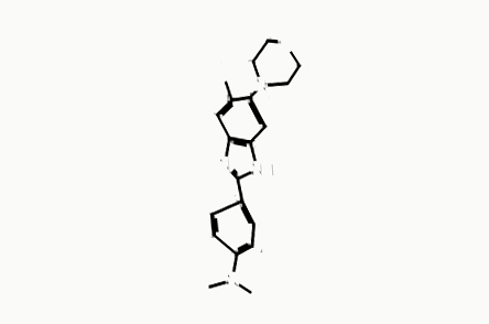 CN(C)c1ccc(-c2nc3cc(F)c(N4CCOCC4)cc3[nH]2)cc1